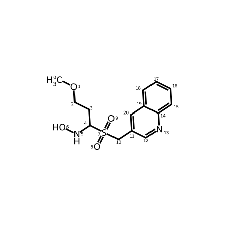 COCCC(NO)S(=O)(=O)Cc1cnc2ccccc2c1